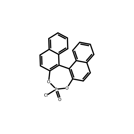 O=P1(Cl)Oc2ccc3ccccc3c2-c2c(ccc3ccccc23)O1